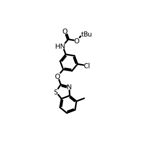 Cc1cccc2sc(Oc3cc(Cl)cc(NC(=O)OC(C)(C)C)c3)nc12